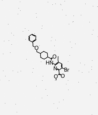 COC(=O)c1nc(NC(=O)C2CCC(COCc3ccccc3)CC2)c(I)cc1Br